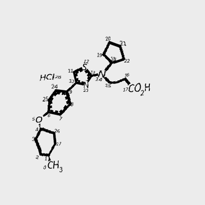 C[C@H]1CC[C@H](Oc2ccc(-c3csc(N(CCC(=O)O)C4CCCC4)n3)cc2)CC1.Cl